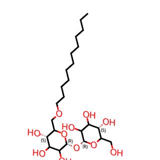 CCCCCCCCCCCCOCC1O[C@H](O[C@H]2OC(CO)[C@@H](O)C(O)C2O)C(O)C(O)[C@@H]1O